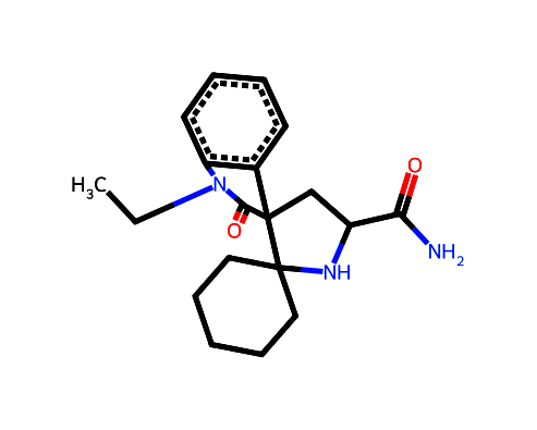 CCN1C(=O)C2(CC(C(N)=O)NC23CCCCC3)c2ccccc21